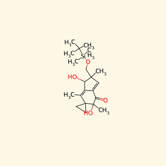 CC1=C2C(=CC(C)(CO[Si](C)(C)C(C)(C)C)C2O)C(=O)C(C)(O)C12CC2